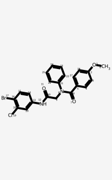 COc1ccc(C(=O)N(CC(=O)Nc2ccc(Br)c(Cl)c2)c2ccccc2)cc1